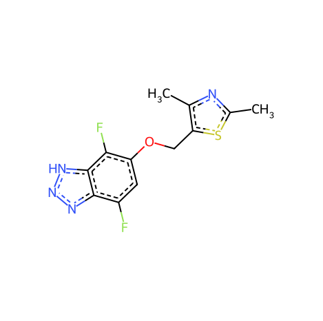 Cc1nc(C)c(COc2cc(F)c3nn[nH]c3c2F)s1